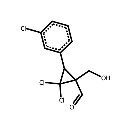 O=CC1(CO)C(c2cccc(Cl)c2)C1(Cl)Cl